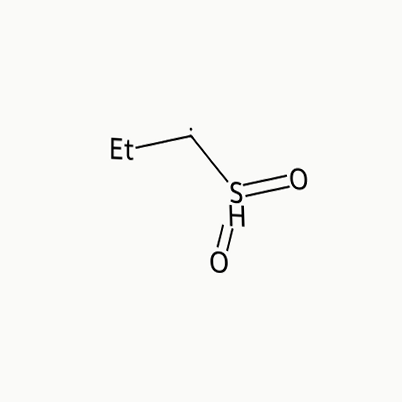 CC[CH][SH](=O)=O